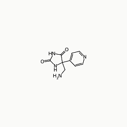 NCC1(c2ccncc2)NC(=O)NC1=O